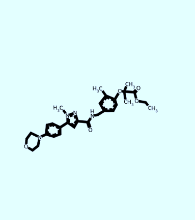 CCOC(=O)C(C)(C)Oc1ccc(CNC(=O)c2cc(-c3ccc(N4CCOCC4)cc3)n(C)n2)cc1C